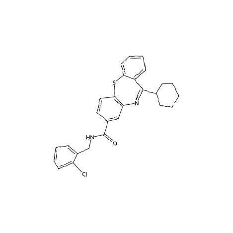 O=C(NCc1ccccc1Cl)c1ccc2c(c1)N=C(C1CCCCC1)c1ccccc1S2